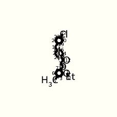 CCOc1cc(C)ccc1OCC(=O)N1CCN(Cc2ccc(Cl)cc2)CC1